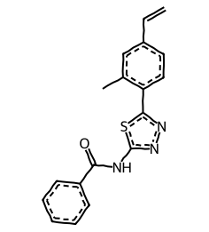 C=Cc1ccc(-c2nnc(NC(=O)c3ccccc3)s2)c(C)c1